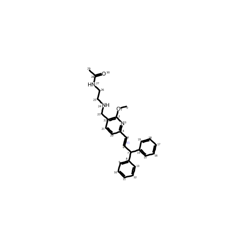 COc1nc(/C=C/C(c2ccccc2)c2ccccc2)ccc1CNCCNC(C)=O